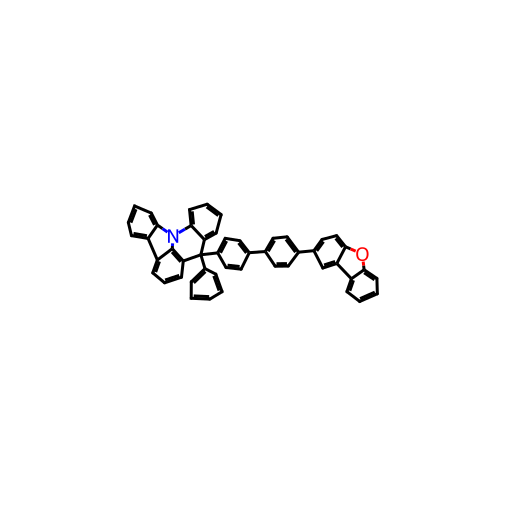 c1ccc(C2(c3ccc(-c4ccc(-c5ccc6oc7ccccc7c6c5)cc4)cc3)c3ccccc3-n3c4ccccc4c4cccc2c43)cc1